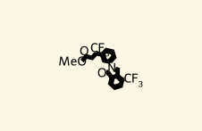 COC(=O)CC(c1cccc(N2Cc3c(cccc3C(F)(F)F)C2=O)c1)C(F)(F)F